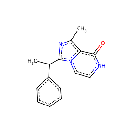 Cc1nc(C(C)c2ccccc2)n2cc[nH]c(=O)c12